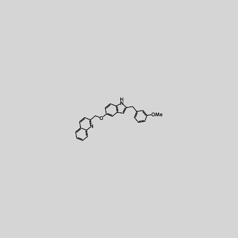 COc1cccc(Cc2cc3cc(OCc4ccc5ccccc5n4)ccc3[nH]2)c1